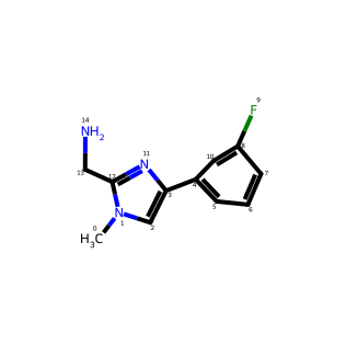 Cn1cc(-c2cccc(F)c2)nc1CN